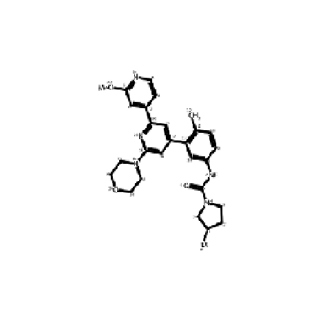 CC[C@@H]1CCN(C(=O)Nc2ccc(C)c(-c3cc(-c4ccnc(OC)c4)nc(N4CCOCC4)c3)c2)C1